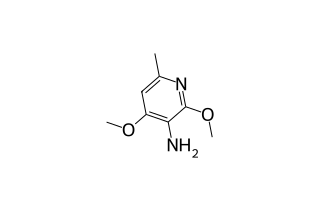 COc1cc(C)nc(OC)c1N